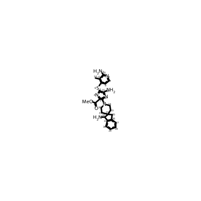 COC(=O)c1nc(Sc2ccnc(N)c2C)c(N)nc1N1CCC2(CC1)Cc1ccccc1C2N